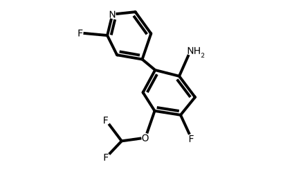 Nc1cc(F)c(OC(F)F)cc1-c1ccnc(F)c1